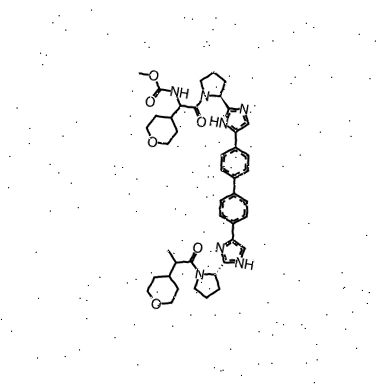 COC(=O)NC(C(=O)N1CCC[C@H]1c1ncc(-c2ccc(-c3ccc(-c4c[nH]c([C@@H]5CCCN5C(=O)C(C)C5CCOCC5)n4)cc3)cc2)[nH]1)C1CCOCC1